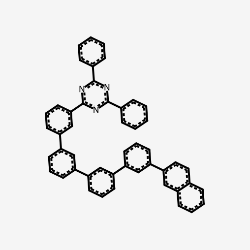 c1ccc(-c2nc(-c3ccccc3)nc(-c3cccc(-c4cccc(-c5cccc(-c6cccc(-c7ccc8ccccc8c7)c6)c5)c4)c3)n2)cc1